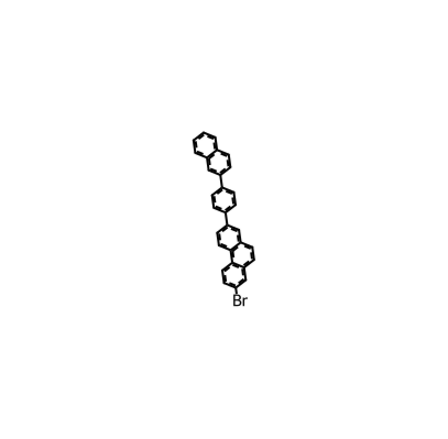 Brc1ccc2c(ccc3cc(-c4ccc(-c5ccc6ccccc6c5)cc4)ccc32)c1